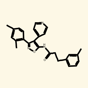 Cc1cccc(CCC(=O)Nc2onc(-c3ccc(C)cc3C)c2-c2ccncc2)c1